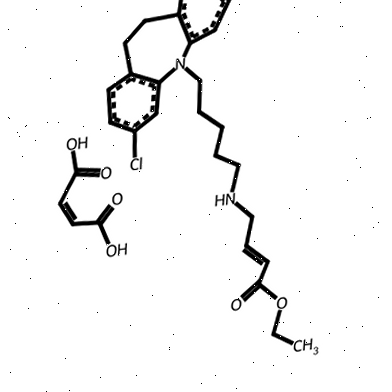 CCOC(=O)/C=C/CNCCCCCN1c2ccccc2CCc2ccc(Cl)cc21.O=C(O)/C=C\C(=O)O